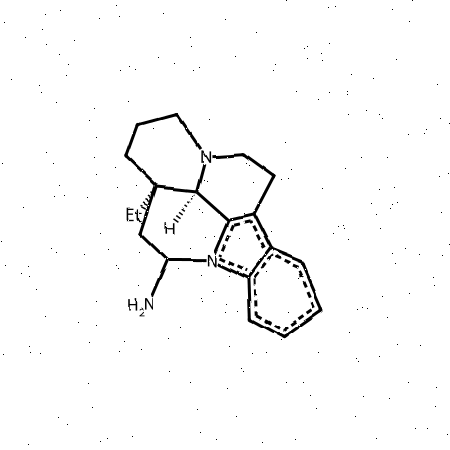 CC[C@@]12CCCN3CCc4c(n(c5ccccc45)C(N)C1)[C@H]32